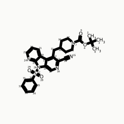 CC(C)(C)OC(=O)N1CCC(Cc2c(C#N)ncc3c2c2cccnc2n3S(=O)(=O)c2ccccc2)CC1